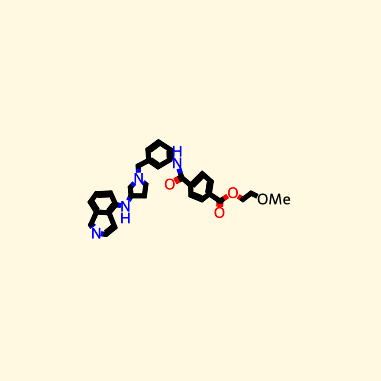 COCCOC(=O)c1ccc(C(=O)Nc2cccc(CN3CCC(Nc4cccc5cnccc45)C3)c2)cc1